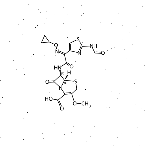 COC1=C(C(=O)O)N2C(=O)[C@@H](NC(=O)C(=NOC3CC3)c3csc(NC=O)n3)[C@@H]2SC1